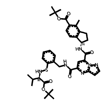 Cc1c(C(=O)OC(C)(C)C)ccc2c1CC[C@@H]2NC(=O)c1cc(C(=O)NCc2ccccc2SN[C@@H](C(=O)OC(C)(C)C)C(C)C)nc2ccnn12